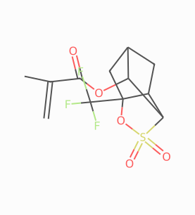 C=C(C)C(=O)OC1C2CC3C1S(=O)(=O)OC3(C(F)(F)F)C2